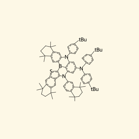 CC(C)(C)c1ccc(N(c2ccc(C(C)(C)C)cc2)c2cc3c4c(c2)N(c2ccc5c(c2)C(C)(C)CCC5(C)C)c2c(sc5cc6c(cc25)C(C)(C)CCC6(C)C)B4c2cc4c(cc2N3c2ccc(C(C)(C)C)cc2)C(C)(C)CCC4(C)C)cc1